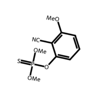 COc1cccc(OP(=S)(OC)OC)c1C#N